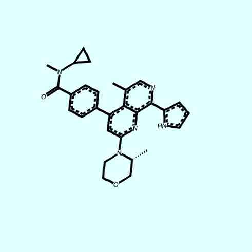 Cc1cnc(-c2ccc[nH]2)c2nc(N3CCOC[C@H]3C)cc(-c3ccc(C(=O)N(C)C4CC4)cc3)c12